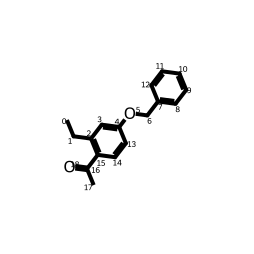 CCc1cc(OCc2ccccc2)ccc1C(C)=O